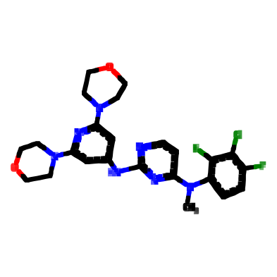 CN(c1ccnc(Nc2cc(N3CCOCC3)nc(N3CCOCC3)c2)n1)c1ccc(F)c(Cl)c1F